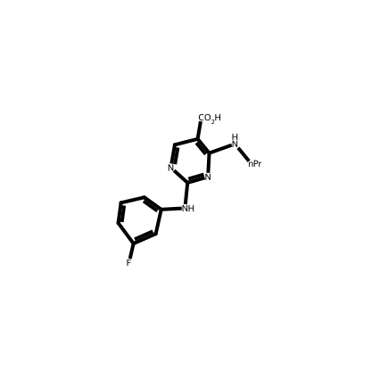 CCCNc1nc(Nc2cccc(F)c2)ncc1C(=O)O